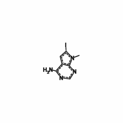 Cn1c(I)cc2c(N)ncnc21